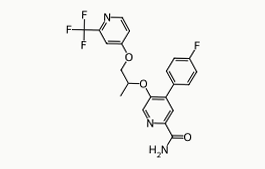 CC(COc1ccnc(C(F)(F)F)c1)Oc1cnc(C(N)=O)cc1-c1ccc(F)cc1